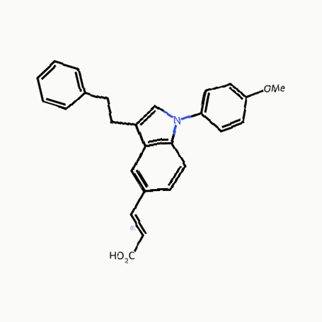 COc1ccc(-n2cc(CCc3ccccc3)c3cc(/C=C/C(=O)O)ccc32)cc1